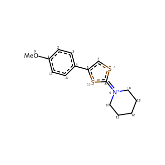 COc1ccc(-c2csc(=[N+]3CCCCC3)s2)cc1